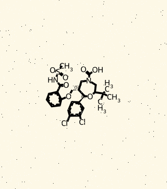 CC(C)(C)C1CN(C(=O)O)C[C@@H](COc2ccccc2C(=O)NS(C)(=O)=O)[C@H](c2ccc(Cl)c(Cl)c2)O1